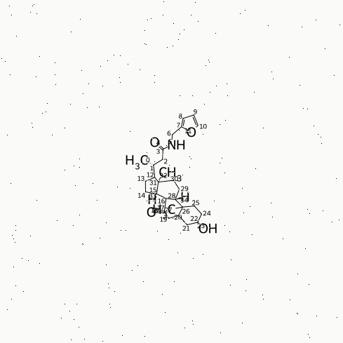 C[C@H](CC(=O)NCc1ccco1)C1CC[C@H]2C3C(=O)CC4C[C@H](O)CCC4(C)[C@H]3CCC12C